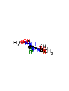 COCC(O)CN1CCCC(Nc2cccc3c2cc(C#CCNc2ccc(S(C)(=O)=O)cc2OC)n3CC(F)(F)F)C1